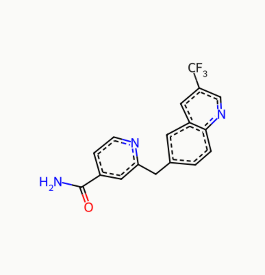 NC(=O)c1ccnc(Cc2ccc3ncc(C(F)(F)F)cc3c2)c1